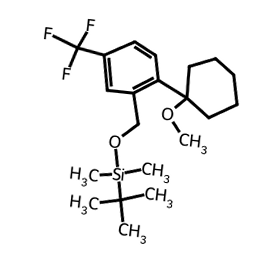 COC1(c2ccc(C(F)(F)F)cc2CO[Si](C)(C)C(C)(C)C)CCCCC1